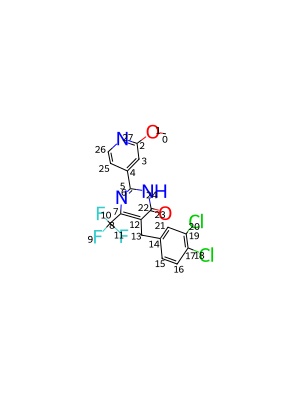 COc1cc(-c2nc(C(F)(F)F)c(Cc3ccc(Cl)c(Cl)c3)c(=O)[nH]2)ccn1